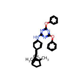 CC12CCC(CC1=C=C1C=CC(Nc3nc(Oc4ccccc4)nc(Oc4ccccc4)n3)=CC1)C2(C)C